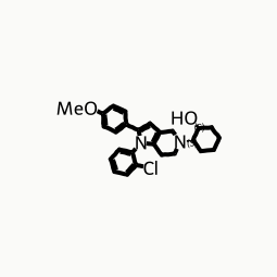 COc1ccc(-c2cc3c(n2-c2ccccc2Cl)CCN([C@H]2CCCC[C@@H]2O)C3)cc1